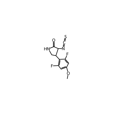 COc1cc(F)c(C2CNC(=O)C2N=C=S)c(F)c1